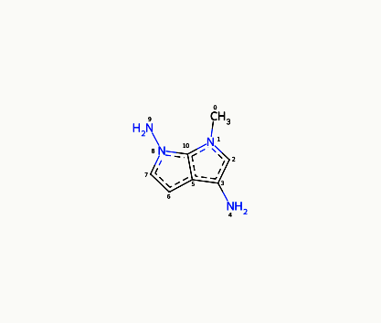 Cn1cc(N)c2ccn(N)c21